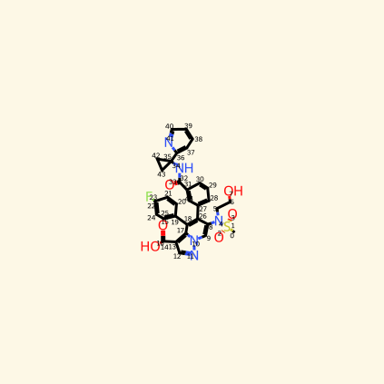 CS(=O)(=O)N(CCO)c1cn2ncc(C(=O)O)c2c(-c2ccc(F)cc2)c1-c1cccc(C(=O)NC2(c3ccccn3)CC2)c1